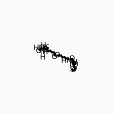 O=C1N[C@H]2[C@H](CS[C@H]2CCCCC(=O)OCCCCCCNC(=O)c2noc(-c3cccs3)n2)N1